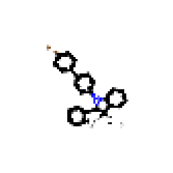 CC1(C)c2ccccc2N(c2ccc(-c3ccc(Br)cc3)cc2)C1c1ccccc1